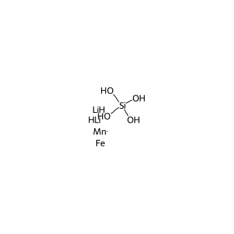 O[Si](O)(O)O.[Fe].[LiH].[LiH].[Mn]